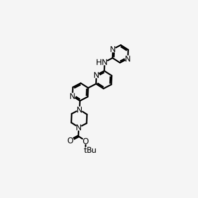 CC(C)(C)OC(=O)N1CCN(c2cc(-c3cccc(Nc4cnccn4)n3)ccn2)CC1